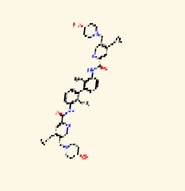 Cc1c(NC(=O)c2cc(C3CC3)c(CN3CCC(O)CC3)cn2)cccc1-c1cccc(NC(=O)c2cc(C3CC3)c(CN3CCC(O)CC3)cn2)c1C